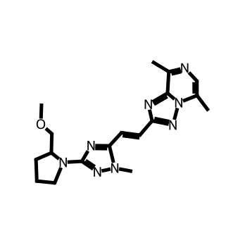 COCC1CCCN1c1nc(C=Cc2nc3c(C)ncc(C)n3n2)n(C)n1